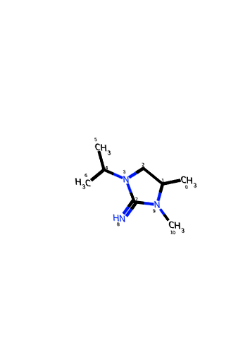 CC1CN(C(C)C)C(=N)N1C